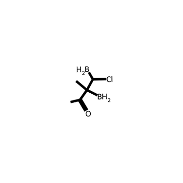 BC(Cl)C(B)(C)C(C)=O